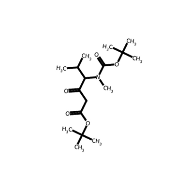 CC(C)C(C(=O)CC(=O)OC(C)(C)C)N(C)C(=O)OC(C)(C)C